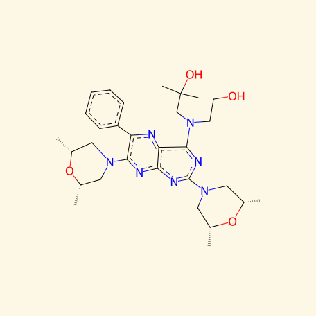 C[C@@H]1CN(c2nc(N(CCO)CC(C)(C)O)c3nc(-c4ccccc4)c(N4C[C@@H](C)O[C@@H](C)C4)nc3n2)C[C@H](C)O1